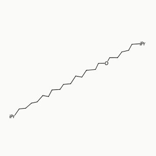 CC(C)CCCCCCCCCCCCCCCOCCCCCC(C)C